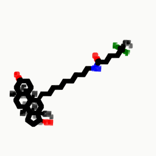 C[C@]12CCC(=O)C[C@@H]1CC[C@@H]1[C@@H]2[C@@H](CCCCCCCCCNC(=O)CCCC(F)(F)C(F)(F)F)C[C@]2(C)[C@@H](O)CC[C@@H]12